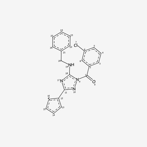 O=C(c1cccc(Cl)c1)n1nc(-c2cccs2)nc1NCc1ccccc1